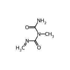 C=NC(=O)N(C)C(N)=O